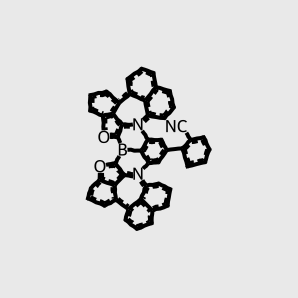 N#Cc1ccccc1-c1cc2c3c(c1)-n1c4cccc5cccc(c6cccc7oc(c1c76)B3c1oc3cccc6c7cccc8cccc(c87)n-2c1c36)c54